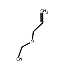 C=CCOCC#N